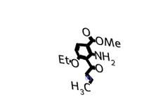 C/C=C/C(=O)c1c(OCC)ccc(C(=O)OC)c1N